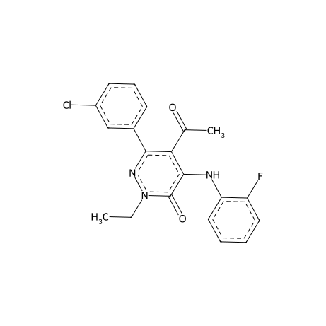 CCn1nc(-c2cccc(Cl)c2)c(C(C)=O)c(Nc2ccccc2F)c1=O